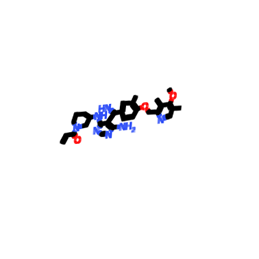 C=CC(=O)N1CCCC(Nc2ncnc(N)c2C(=N)c2ccc(OCc3ncc(C)c(OC)c3C)c(C)c2)C1